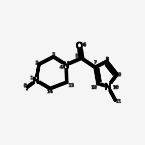 [CH2]N1CCN(C(=O)c2ccn(C)c2)CC1